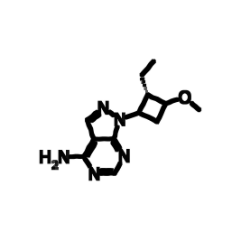 CC[C@@H]1C(OC)CC1n1ncc2c(N)ncnc21